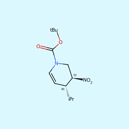 CC(C)[C@@H]1C=CN(C(=O)OC(C)(C)C)C[C@H]1[N+](=O)[O-]